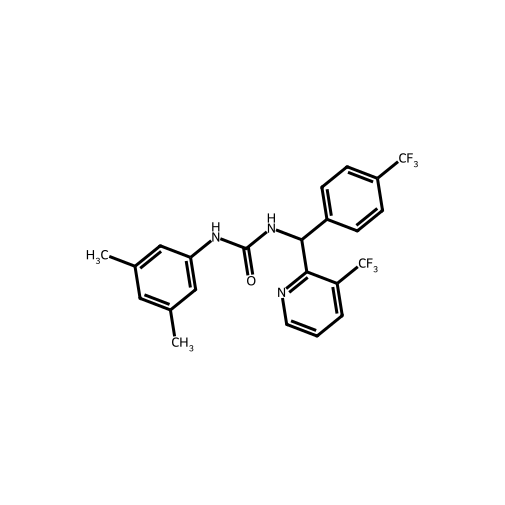 Cc1cc(C)cc(NC(=O)NC(c2ccc(C(F)(F)F)cc2)c2ncccc2C(F)(F)F)c1